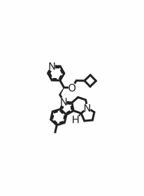 Cc1ccc2c(c1)c1c(n2C[C@H](OCC2CCC2)c2ccncc2)CCN2CCC[C@H]12